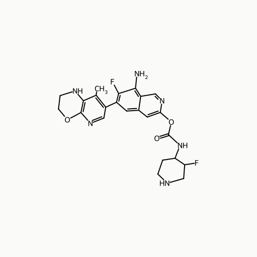 Cc1c(-c2cc3cc(OC(=O)NC4CCNCC4F)ncc3c(N)c2F)cnc2c1NCCO2